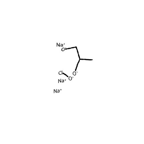 CC([O-])C[O-].[Na+].[Na+].[Na+].[O-]Cl